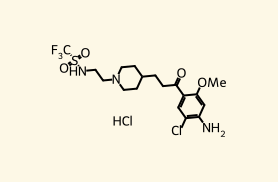 COc1cc(N)c(Cl)cc1C(=O)CCC1CCN(CCNS(=O)(=O)C(F)(F)F)CC1.Cl